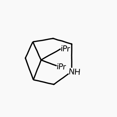 CC(C)C1(C(C)C)C2CCNCC1C2